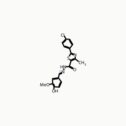 COc1cc(/C=N/NC(=O)c2sc(-c3ccc(Cl)cc3)nc2C)ccc1O